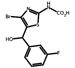 O=C(O)Nc1nc(Br)c(C(O)c2cccc(F)c2)s1